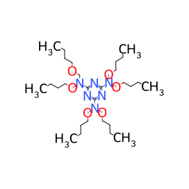 CCCCOCN(OCCCC)c1nc(N(OCCCC)OCCCC)nc(N(OCCCC)OCCCC)n1